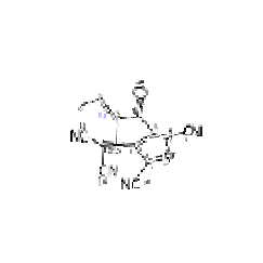 C/C=C1/C(=O)c2c(C#N)sc(C#N)c2C1=C(C#N)C#N